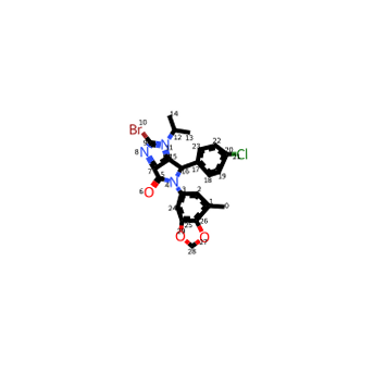 Cc1cc(N2C(=O)c3nc(Br)n(C(C)C)c3C2c2ccc(Cl)cc2)cc2c1OCO2